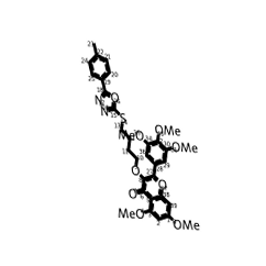 COc1cc(OC)c2c(=O)c(OCCCCSc3nnc(-c4ccc(C)cc4)o3)c(-c3cc(OC)c(OC)c(OC)c3)oc2c1